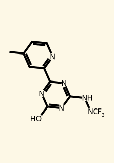 Cc1ccnc(-c2nc(O)nc(NNC(F)(F)F)n2)c1